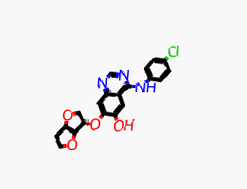 Oc1cc2c(Nc3ccc(Cl)cc3)ncnc2cc1O[C@@H]1COC2CCOC21